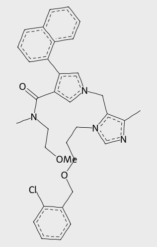 COCCN(C)C(=O)c1cn(Cc2c(C)ncn2CCCOCc2ccccc2Cl)cc1-c1cccc2ccccc12